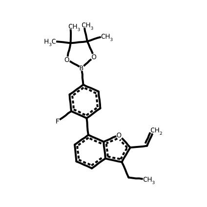 C=Cc1oc2c(-c3ccc(B4OC(C)(C)C(C)(C)O4)cc3F)cccc2c1CC